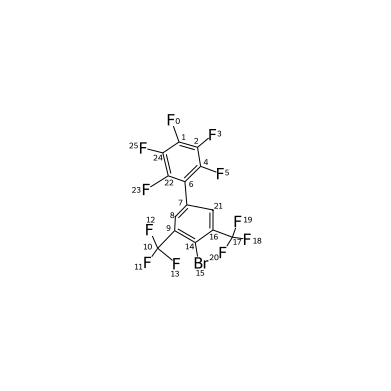 Fc1c(F)c(F)c(-c2cc(C(F)(F)F)c(Br)c(C(F)(F)F)c2)c(F)c1F